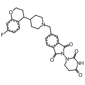 O=C1CCN(N2C(=O)c3ccc(CN4CCC(C5CCOc6cc(F)ccc65)CC4)cc3C2=O)C(=O)N1